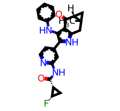 C[C@@]12Cc3[nH]c(-c4ccnc(NC(=O)[C@@H]5C[C@@H]5F)c4)c(Nc4ccccc4)c3C(=O)[C@@H]1C2